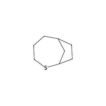 C1CSC2CCC(C1)C2